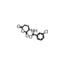 O=C1CC[C@H](NC(=O)c2cccc(Cl)c2)C(=O)O1